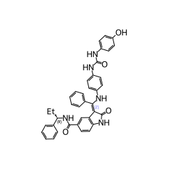 CC[C@@H](NC(=O)c1ccc2c(c1)/C(=C(/Nc1ccc(NC(=O)Nc3ccc(O)cc3)cc1)c1ccccc1)C(=O)N2)c1ccccc1